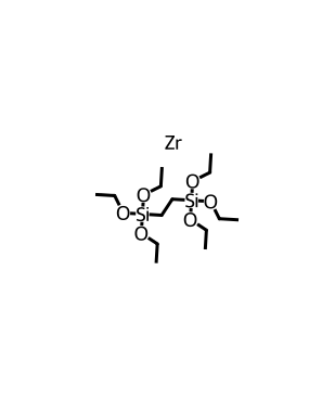 CCO[Si](CC[Si](OCC)(OCC)OCC)(OCC)OCC.[Zr]